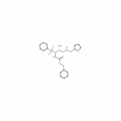 O=C(N[C@H]([C@H](O)CNCc1cccs1)C(F)(F)c1ccccc1)OCc1ccccc1